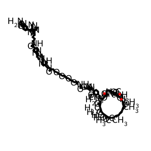 CO[C@H]1C[C@@H]2CC[C@@H](C)[C@@](O)(O2)C(=O)C(=O)N2CCCC[C@H]2C(=O)O[C@H]([C@H](N)C[C@@H]2CC[C@H](n3cc(COC(=O)NCCOCCOCCOCCOCCC(=O)NCc4cnc(N5CCN(c6ncc(C(=O)NCCCCn7nc(-c8ccc9oc(N)nc9c8)c8c(N)ncnc87)cn6)CC5)nc4)nn3)[C@H](OC)C2)CC(=O)[C@H](C)/C=C(\C)[C@@H](O)[C@@H](O)C(=O)[C@H](C)C[C@H](C)/C=C/C=C/C=C/1C